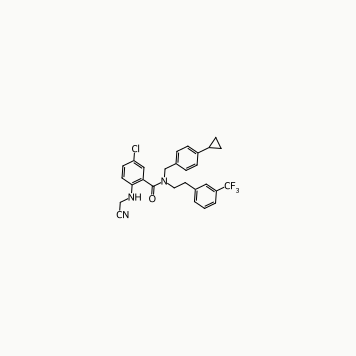 N#CCNc1ccc(Cl)cc1C(=O)N(CCc1cccc(C(F)(F)F)c1)Cc1ccc(C2CC2)cc1